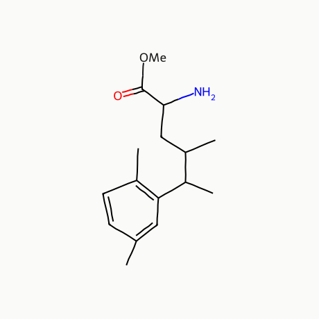 COC(=O)C(N)CC(C)C(C)c1cc(C)ccc1C